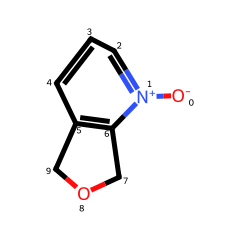 [O-][n+]1cccc2c1COC2